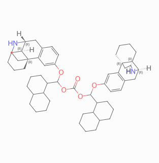 O=C(OC(Oc1ccc2c(c1)[C@@]13CCCC[C@H]1[C@@H](C2)NCC3)C1CCCC2CCCCC21)OC(Oc1ccc2c(c1)[C@@]13CCCC[C@H]1[C@@H](C2)NCC3)C1CCCC2CCCCC21